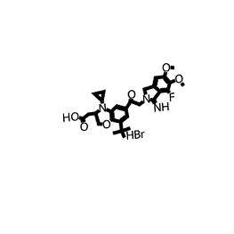 Br.COc1cc2c(c(F)c1OC)C(=N)N(CC(=O)c1cc3c(c(C(C)(C)C)c1)OCC(CC(=O)O)N3C1CC1)C2